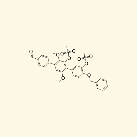 COc1cc(-c2ccc(C=O)cc2)c(OC)c(OS(C)(=O)=O)c1-c1ccc(OCc2ccccc2)c(OS(C)(=O)=O)c1